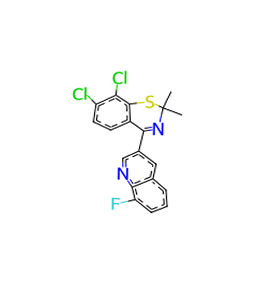 CC1(C)N=C(c2cnc3c(F)cccc3c2)c2ccc(Cl)c(Cl)c2S1